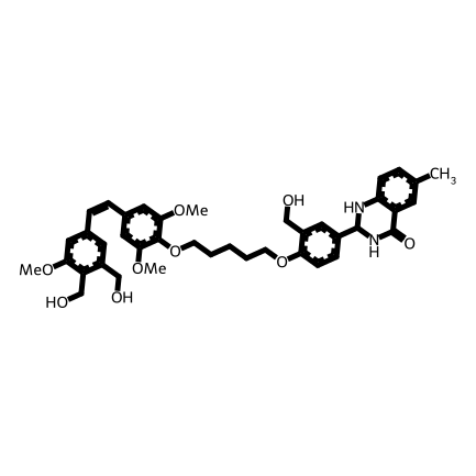 COc1cc(/C=C\c2cc(OC)c(OCCCCCOc3ccc(C4NC(=O)c5cc(C)ccc5N4)cc3CO)c(OC)c2)cc(CO)c1CO